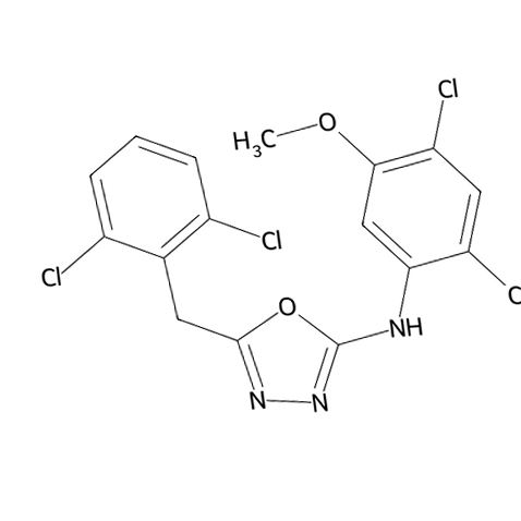 COc1cc(Nc2nnc(Cc3c(Cl)cccc3Cl)o2)c(Cl)cc1Cl